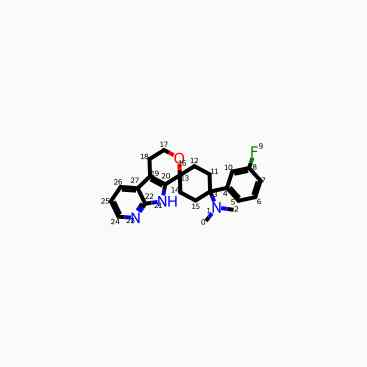 CN(C)C1(c2cccc(F)c2)CCC2(CC1)OCCc1c2[nH]c2ncccc12